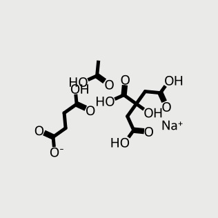 CC(=O)O.O=C(O)CC(O)(CC(=O)O)C(=O)O.O=C([O-])CCC(=O)O.[Na+]